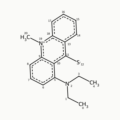 CCN(CC)c1cccc2c1c([S])c1ccccc1[n+]2C